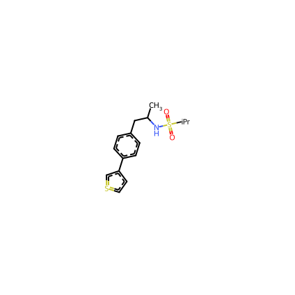 CC(Cc1ccc(-c2ccsc2)cc1)NS(=O)(=O)C(C)C